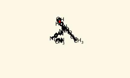 COCCOCCOCCCOc1nn(C2CCC(N3[C@@H]4CC[C@H]3COC4)CC2)cc1Nc1ncc(-c2ccc(C#N)c(OC(C)Cn3cncn3)c2)cn1